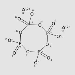 O=P1([O-])OP(=O)([O-])OP(=O)([O-])OP(=O)([O-])O1.[Zn+2].[Zn+2]